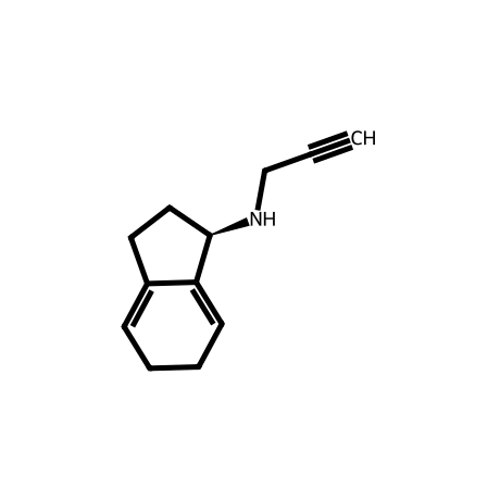 C#CCN[C@@H]1CCC2=CCCC=C21